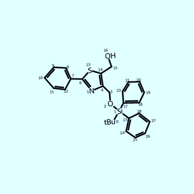 CC(C)(C)[Si](OCc1nc(-c2ccccc2)sc1CO)(c1ccccc1)c1ccccc1